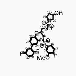 COc1cc(S(=O)(=O)N2CC(CNS(=O)(=O)N3CCC(O)C3)Oc3ccc(-c4cc(F)ccc4F)cc32)ccc1F